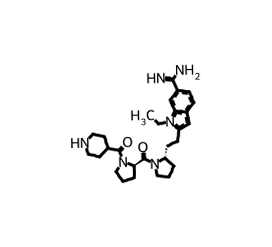 CCn1c(CC[C@@H]2CCCN2C(=O)[C@H]2CCCN2C(=O)C2CCNCC2)cc2ccc(C(=N)N)cc21